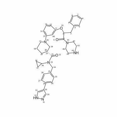 O=C(C(Cc1ccccc1)Oc1cccc(N2CCC[C@@H](C(=O)N(Cc3ccc(-c4cn[nH]c4)cc3)C3CC3)C2)c1)N1CCNCC1